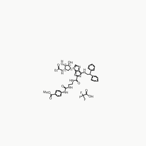 CCC(=O)N[C@H]1C[C@@H](n2cnc3c(NCC(c4ccccc4)c4ccccc4)nc(C(=O)NCCNC(=O)Nc4ccc(C(=O)OC)cc4)nc32)[C@H](O)[C@@H]1O.O=C(O)C(F)(F)F